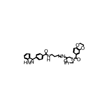 CC(C)CN(CC(=O)NCCCCNC(=O)c1ccc(-c2n[nH]c3ccccc23)cc1)C(=O)c1ccc2c(c1)OCCO2